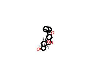 C[C@]12CC[C@H]3[C@@H](CCC4=CC(=O)C(C56CC7CC(CC(C7)C5)C6)=C[C@@]43O)[C@@H]1CCC2=O